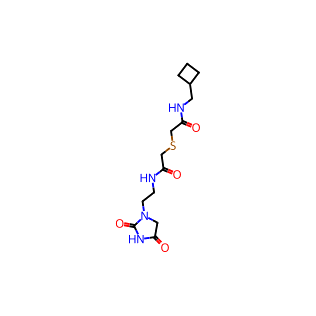 O=C(CSCC(=O)NCC1CCC1)NCCN1CC(=O)NC1=O